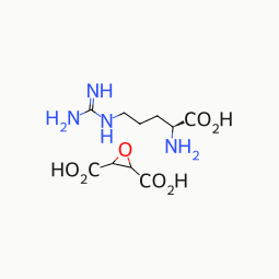 N=C(N)NCCC[C@H](N)C(=O)O.O=C(O)C1OC1C(=O)O